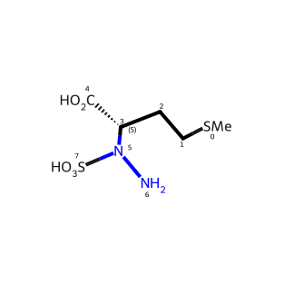 CSCC[C@@H](C(=O)O)N(N)S(=O)(=O)O